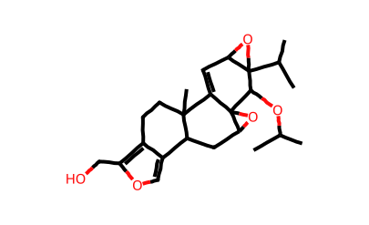 CC(C)OC1C23OC2CC2c4coc(CO)c4CCC2(C)C3=CC2OC21C(C)C